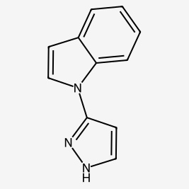 c1ccc2c(c1)ccn2-c1cc[nH]n1